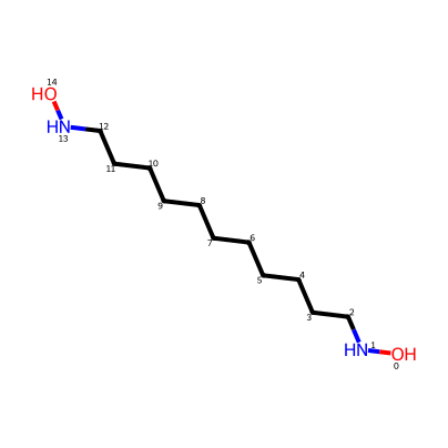 ONCCCCCCCCCCCNO